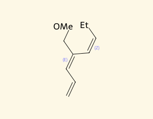 C=C/C=C(\C=C/CC)COC